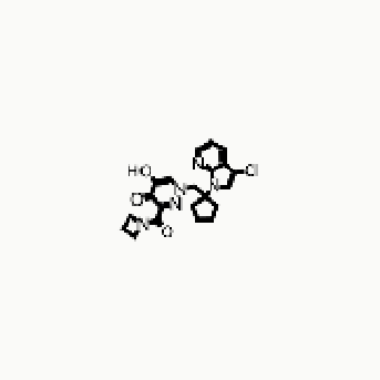 O=C(c1nn(CC2(n3cc(Cl)c4cccnc43)CCCC2)cc(O)c1=O)N1CCC1